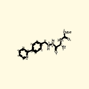 CC[C@@H](NC(=O)OC)C(=O)NNCc1ccc(-c2ccccn2)cc1